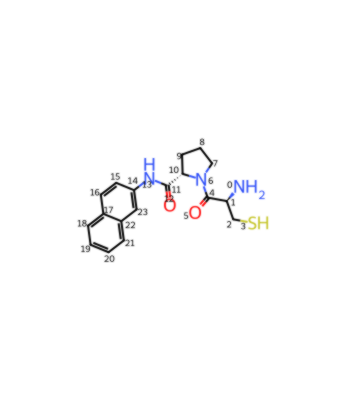 N[C@@H](CS)C(=O)N1CCC[C@H]1C(=O)Nc1ccc2ccccc2c1